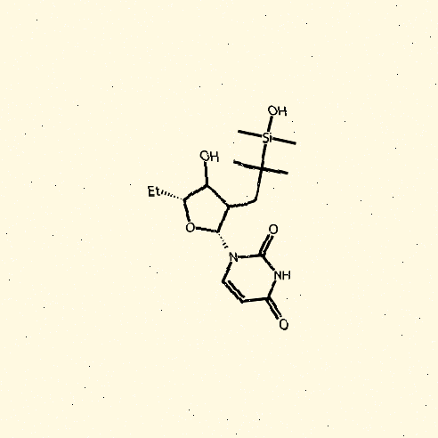 CC[C@H]1O[C@@H](n2ccc(=O)[nH]c2=O)C(CC(C)(C)[Si](C)(C)O)C1O